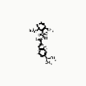 CCOc1nccc(C(F)(F)F)c1S(=O)(=O)NC(=O)c1cc2ccc(N(C)C)cc2o1